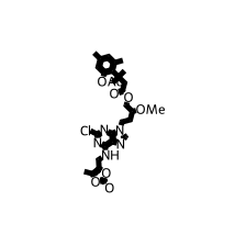 COC(CCn1cnc2c(NCc3oc(=O)oc3C)nc(Cl)nc21)COC(=O)CC(C)(C)c1c(C)cc(C)cc1OC(C)=O